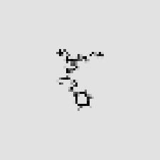 O=C(OCc1ccccc1)N1C[C@@H](O)[C@H](OCCBr)C1